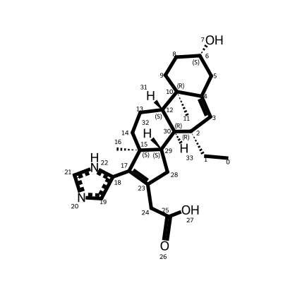 CC[C@H]1C=C2C[C@@H](O)CC[C@]2(C)[C@H]2CC[C@]3(C)C(c4cnc[nH]4)=C(CC(=O)O)C[C@H]3[C@H]12